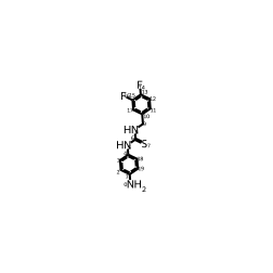 Nc1ccc(NC(=S)NCc2ccc(F)c(F)c2)cc1